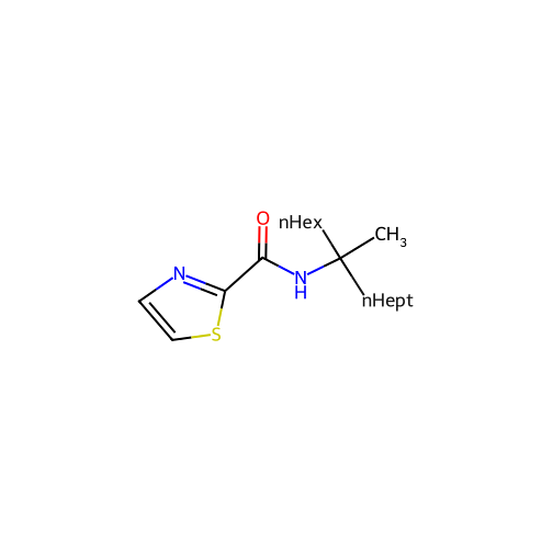 CCCCCCCC(C)(CCCCCC)NC(=O)c1nccs1